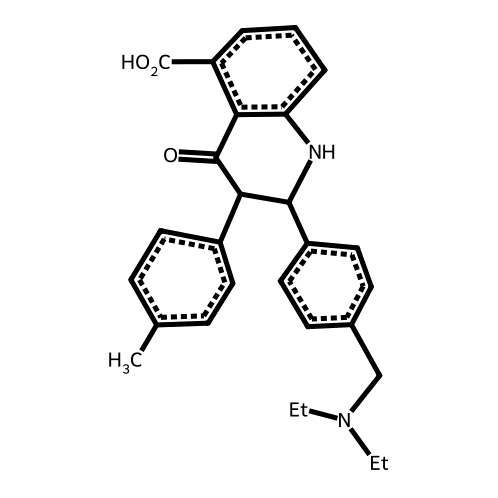 CCN(CC)Cc1ccc(C2Nc3cccc(C(=O)O)c3C(=O)C2c2ccc(C)cc2)cc1